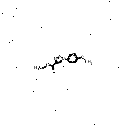 CCOC(=O)c1cn(-c2ccc(OC)cc2)nn1